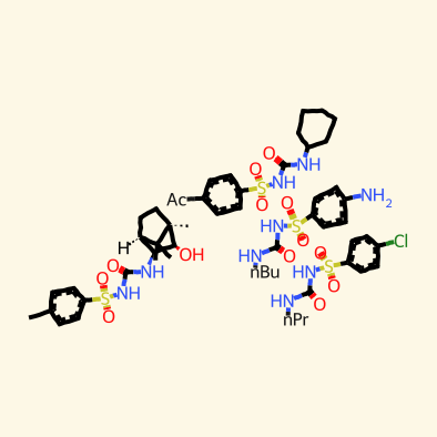 CC(=O)c1ccc(S(=O)(=O)NC(=O)NC2CCCCC2)cc1.CCCCNC(=O)NS(=O)(=O)c1ccc(N)cc1.CCCNC(=O)NS(=O)(=O)c1ccc(Cl)cc1.Cc1ccc(S(=O)(=O)NC(=O)N[C@H]2[C@H]3CC[C@@](C)([C@H]2O)C3(C)C)cc1